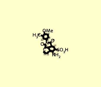 COc1ccc(N2C(=O)c3cccc4c(N)c(S(=O)(=O)O)cc(c34)C2=O)cc1C